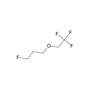 FC[CH]COCC(F)(F)F